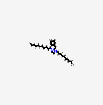 CCCCCCCCCCCn1cc[n+](CCCCCCCCCC)c1Cc1ccccc1